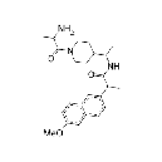 COc1ccc2cc(C(C)C(=O)NC(C)C3CCN(C(=O)C(C)N)CC3)ccc2c1